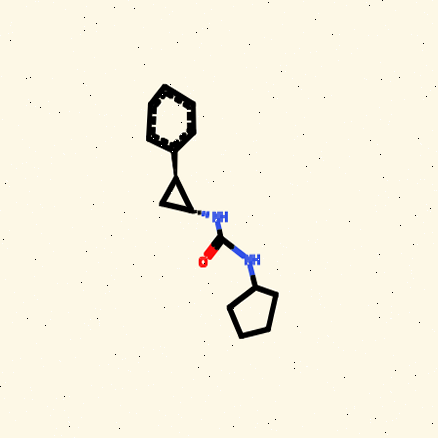 O=C(NC1CCCC1)N[C@@H]1C[C@H]1c1ccccc1